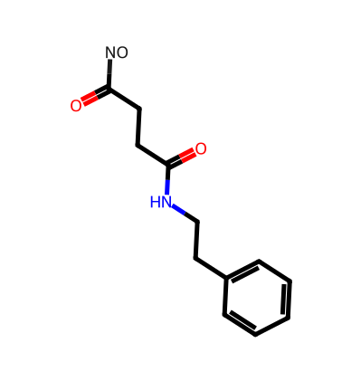 O=NC(=O)CCC(=O)NCCc1ccccc1